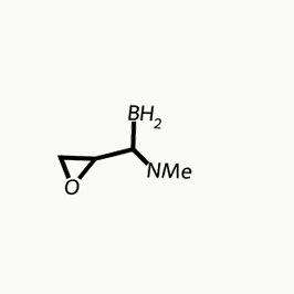 BC(NC)C1CO1